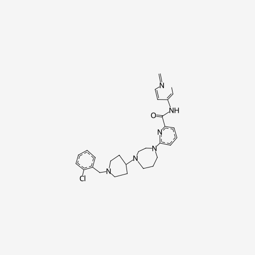 C=N/C=C\C(=C/C)NC(=O)c1cccc(N2CCCN(C3CCN(Cc4ccccc4Cl)CC3)CC2)n1